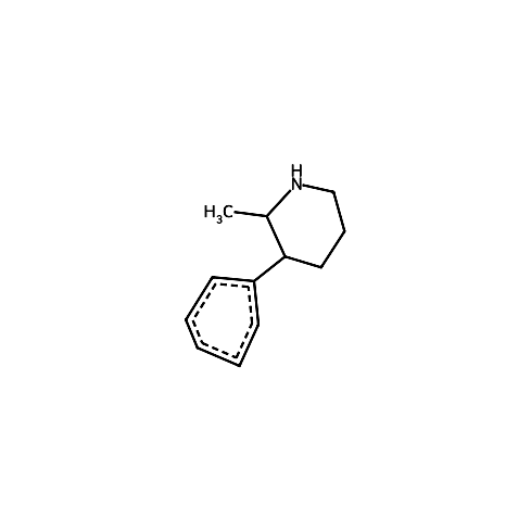 CC1NCCCC1c1ccccc1